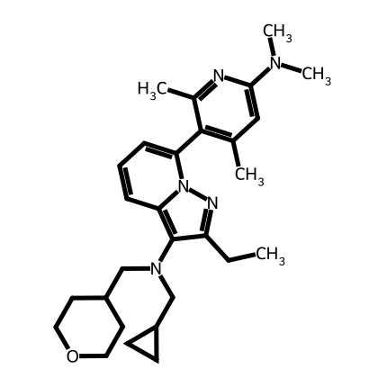 CCc1nn2c(-c3c(C)cc(N(C)C)nc3C)cccc2c1N(CC1CCOCC1)CC1CC1